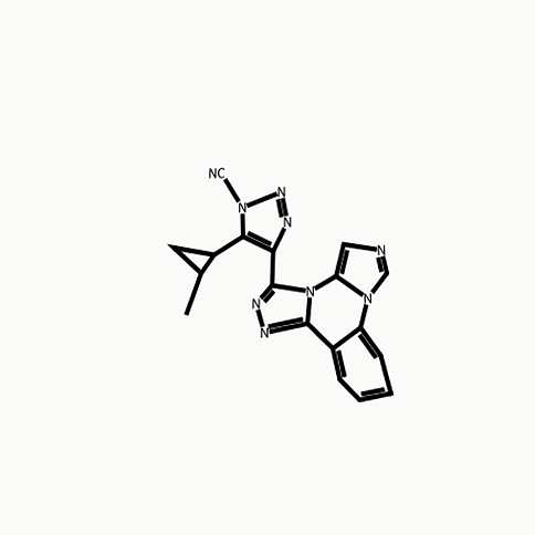 CC1CC1c1c(-c2nnc3c4ccccc4n4cncc4n23)nnn1C#N